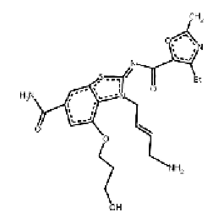 CCc1nc(C)oc1C(=O)N=c1sc2cc(C(N)=O)cc(OCCCO)c2n1C/C=C/CN